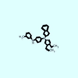 C/C=C\c1cc(N(c2ccc(Nc3cccc(C)c3)cc2)c2ccc3ccccc3c2)ccc1CC